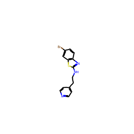 Brc1ccc2nc(NCCc3ccncc3)sc2c1